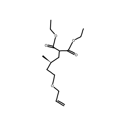 C=CCOCC[C@@H](C)CC(C(=O)OCC)C(=O)OCC